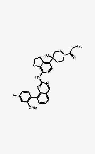 COc1cc(F)ccc1-c1cccc2cnc(Nc3ccc(C4(O)CCN(C(=O)OC(C)(C)C)CC4)c4c3OCC4)nc12